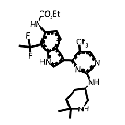 CCOC(=O)Nc1ccc2c(-c3nc(N[C@H]4CCC(C)(C)NC4)ncc3C(F)(F)F)c[nH]c2c1C(C)(F)F